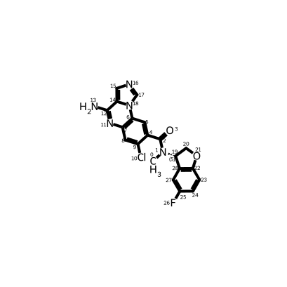 CN(C(=O)c1cc2c(cc1Cl)nc(N)c1cncn12)[C@@H]1COc2ccc(F)cc21